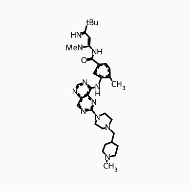 CN/C(=C\C(=N)C(C)(C)C)NC(=O)c1ccc(C)c(Nc2ncnc3cnc(N4CCN(CC5CCN(C)CC5)CC4)nc23)c1